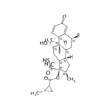 CC1CC1C(=O)O[C@]1(C(=O)S)[C@H](C)C[C@H]2[C@@H]3C[C@H](F)C4=CC(=O)C=C[C@]4(C)[C@@]3(F)[C@@H](O)C[C@@]21C